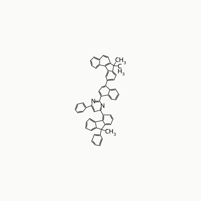 CC1(C)c2ccc(-c3ccc(-c4nc(-c5ccccc5)cc(-c5cccc6c5-c5ccccc5C6(C)c5ccccc5)n4)c4ccccc34)cc2-c2c1ccc1ccccc21